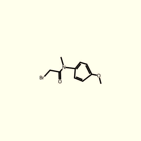 COc1ccc(N(C)C(=O)CBr)cc1